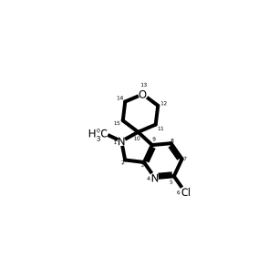 CN1Cc2nc(Cl)ccc2C12CCOCC2